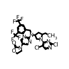 CCC1CC(N(Cc2cc(C(F)(F)F)cc(C(F)(F)F)c2)c2ncc(N3CCOC3=O)cn2)CN1c1nc(Cl)ncc1Cl